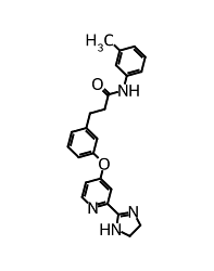 Cc1cccc(NC(=O)CCc2cccc(Oc3ccnc(C4=NCCN4)c3)c2)c1